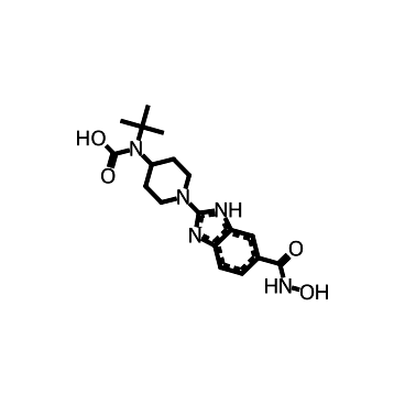 CC(C)(C)N(C(=O)O)C1CCN(c2nc3ccc(C(=O)NO)cc3[nH]2)CC1